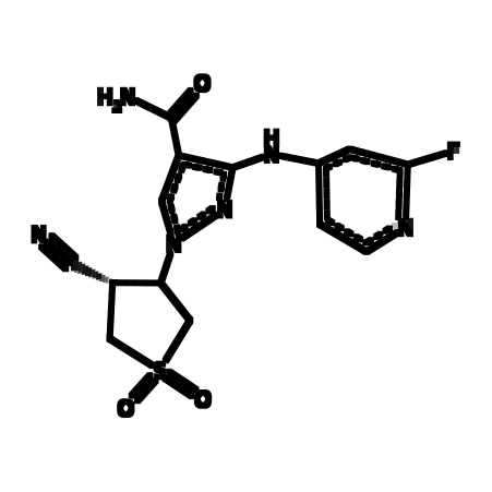 N#C[C@H]1CS(=O)(=O)CC1n1cc(C(N)=O)c(Nc2ccnc(F)c2)n1